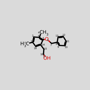 Cc1cc(C)c(OCc2ccccc2)c(CCO)c1